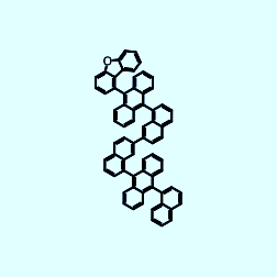 c1ccc2c(-c3c4ccccc4c(-c4cccc5ccc(-c6ccc7cccc(-c8c9ccccc9c(-c9cccc%10oc%11ccccc%11c9%10)c9ccccc89)c7c6)cc45)c4ccccc34)cccc2c1